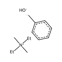 CC[N+](C)(C)CC.[CH2]c1ccccc1.[OH-]